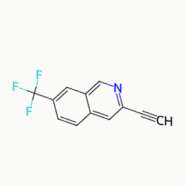 C#Cc1cc2ccc(C(F)(F)F)cc2cn1